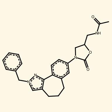 CC(=O)NCC1CN(c2ccc3c(c2)CCCc2cn(Cc4ccccc4)nc2-3)C(=O)O1